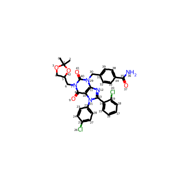 CC1(C)OCC(Cn2c(=O)c3c(nc(-c4ccccc4Cl)n3-c3ccc(Cl)cc3)n(Cc3ccc(C(N)=O)cc3)c2=O)O1